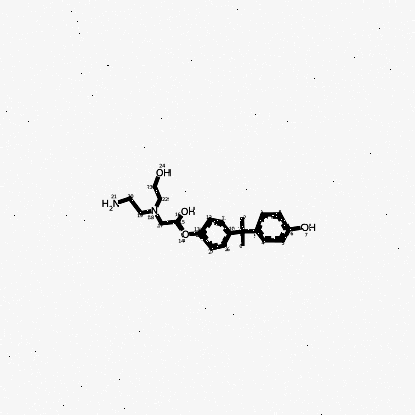 CC(C)(c1ccc(O)cc1)c1ccc(OC(O)CN(CCN)CCO)cc1